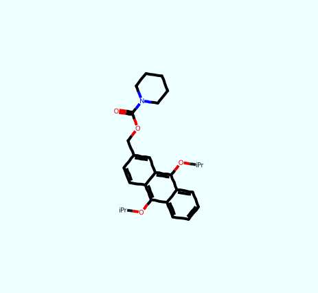 CC(C)Oc1c2ccccc2c(OC(C)C)c2cc(COC(=O)N3CCCCC3)ccc12